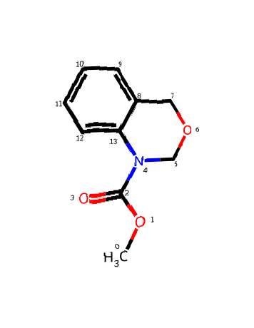 COC(=O)N1COCc2ccccc21